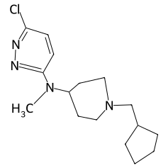 CN(c1ccc(Cl)nn1)C1CCN(CC2CCCC2)CC1